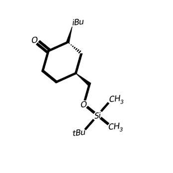 CC[C@H](C)[C@@H]1C[C@@H](CO[Si](C)(C)C(C)(C)C)CCC1=O